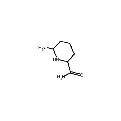 CC1CCCC(C(N)=O)N1